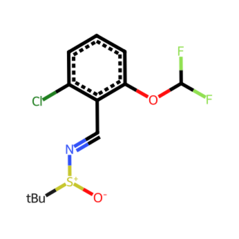 CC(C)(C)[S+]([O-])N=Cc1c(Cl)cccc1OC(F)F